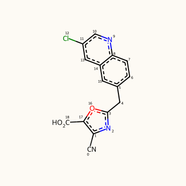 N#Cc1nc(Cc2ccc3ncc(Cl)cc3c2)oc1C(=O)O